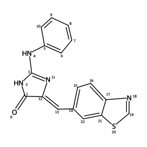 O=C1NC(Nc2ccccc2)=N/C1=C\c1ccc2ncsc2c1